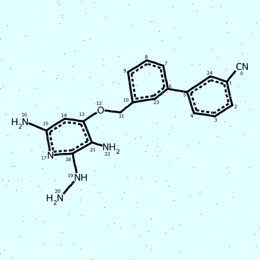 N#Cc1cccc(-c2cccc(COc3cc(N)nc(NN)c3N)c2)c1